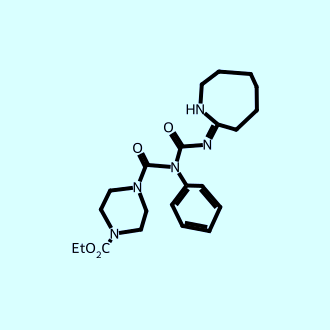 CCOC(=O)N1CCN(C(=O)N(C(=O)N=C2CCCCCCN2)c2ccccc2)CC1